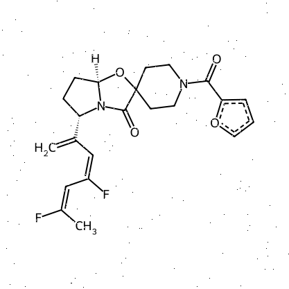 C=C(/C=C(F)\C=C(/C)F)[C@@H]1CC[C@H]2OC3(CCN(C(=O)c4ccco4)CC3)C(=O)N21